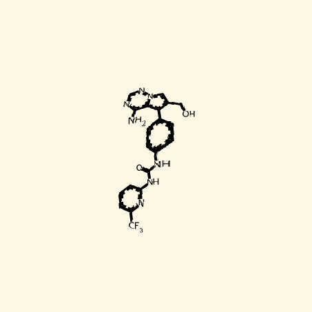 Nc1ncnn2cc(CO)c(-c3ccc(NC(=O)Nc4cccc(C(F)(F)F)n4)cc3)c12